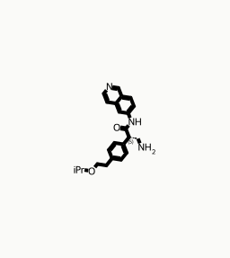 CC(C)OCCc1ccc([C@@H](CN)C(=O)Nc2ccc3cnccc3c2)cc1